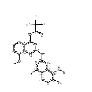 COc1cccc2c(OC(=O)C(F)(F)F)nc(Nc3nc(C)c4ccc(F)c(OC)c4n3)nc12